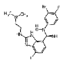 CN(C)CCNc1nc2c(F)ccc(C(=N)N(O)c3ccc(F)c(Br)c3)c2[nH]1